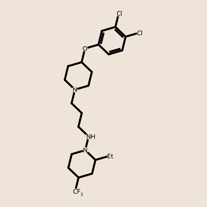 CCC1CC(C(F)(F)F)CCN1NCCCN1CCC(Oc2ccc(Cl)c(Cl)c2)CC1